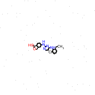 CCc1ccccc1Nc1nc(Nc2ccc3c(c2)COB3O)ncc1C